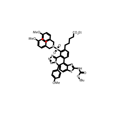 CCOC(=O)CCCCc1ccc(-c2cccc3sc(NC(=O)OC(C)(C)C)nc23)c(-c2nnnn2Cc2ccc(OC)cc2)c1S(=O)(=O)N(Cc1ccc(OC)cc1)Cc1ccc(OC)cc1